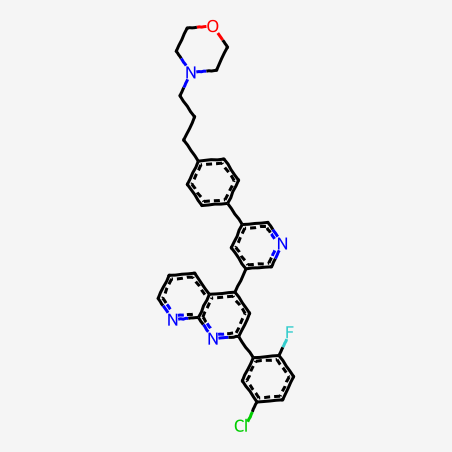 Fc1ccc(Cl)cc1-c1cc(-c2cncc(-c3ccc(CCCN4CCOCC4)cc3)c2)c2cccnc2n1